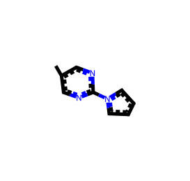 Cc1cnc(-n2cccc2)nc1